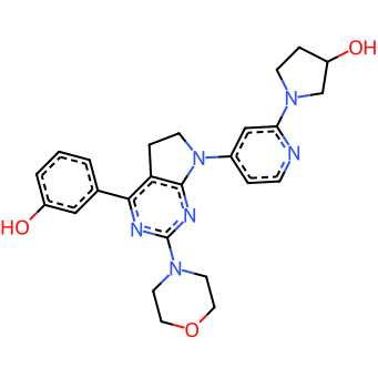 Oc1cccc(-c2nc(N3CCOCC3)nc3c2CCN3c2ccnc(N3CCC(O)C3)c2)c1